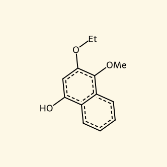 CCOc1cc(O)c2ccccc2c1OC